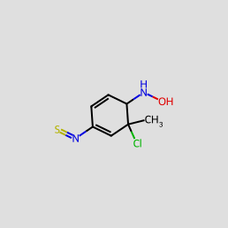 CC1(Cl)C=C(N=S)C=CC1NO